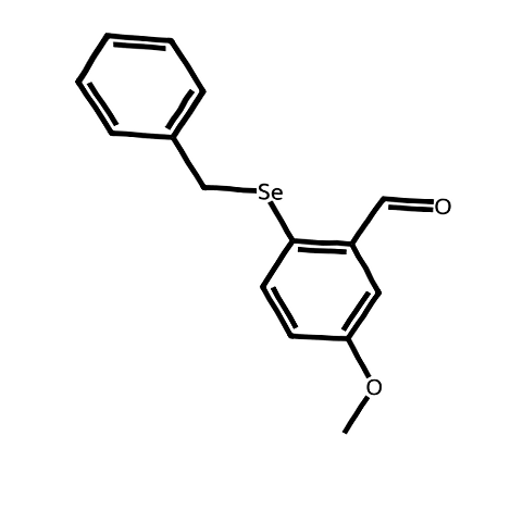 COc1ccc([Se]Cc2ccccc2)c(C=O)c1